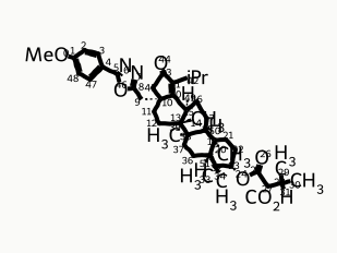 COc1ccc(-c2nnc(C[C@@]34CC[C@]5(C)[C@H](CC[C@@H]6[C@@]7(C)CC[C@H](OC(=O)CC(C)(C)C(=O)O)C(C)(C)[C@@H]7CC[C@]65C)C3=C(C(C)C)C(=O)C4)o2)cc1